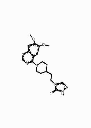 COc1cc2ncnc(N3CCC(CCn4cn[nH]c4=S)CC3)c2cc1OC